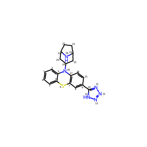 c1ccc2c(c1)Sc1cc(-c3nnn[nH]3)ccc1N2C1CC2CCC(C1)N2